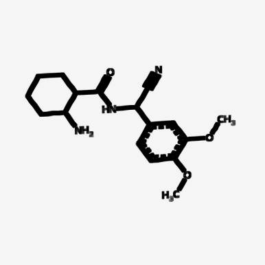 COc1ccc(C(C#N)NC(=O)C2CCCCC2N)cc1OC